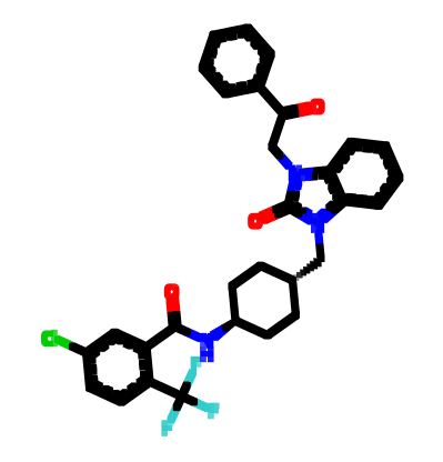 O=C(Cn1c(=O)n(C[C@H]2CC[C@H](NC(=O)c3cc(Cl)ccc3C(F)(F)F)CC2)c2ccccc21)c1ccccc1